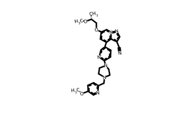 COc1ccc(CN2CCN(c3ccc(-c4cc(OC[C@@H](C)OC)cn5ncc(C#N)c45)cn3)CC2)nc1